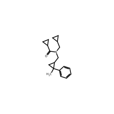 CC1(c2ccccc2)CC1CN(CC1CC1)C(=O)C1CC1